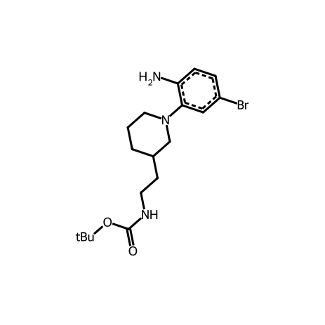 CC(C)(C)OC(=O)NCCC1CCCN(c2cc(Br)ccc2N)C1